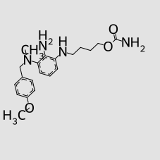 COc1ccc(CN(C)c2cccc(NCCCCOC(N)=O)c2N)cc1